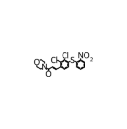 O=C(/C=C/c1ccc(Sc2ccccc2[N+](=O)[O-])c(Cl)c1Cl)N1CCOCC1